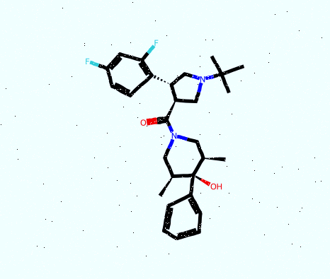 C[C@@H]1CN(C(=O)[C@@H]2CN(C(C)(C)C)C[C@H]2c2ccc(F)cc2F)C[C@H](C)[C@@]1(O)c1ccccc1